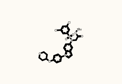 CC(C)(C)OC(=O)CN(c1ccc2c(ccn2-c2ccc(OC3CCOCC3)cc2)c1)S(=O)(=O)c1cc(Cl)cc(Cl)c1